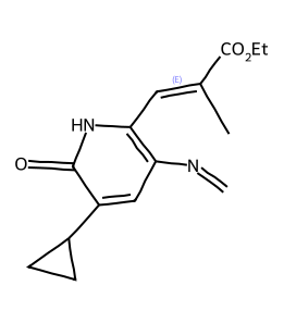 C=Nc1cc(C2CC2)c(=O)[nH]c1/C=C(\C)C(=O)OCC